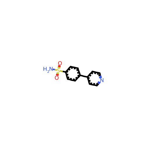 NS(=O)(=O)c1ccc(-c2ccncc2)cc1